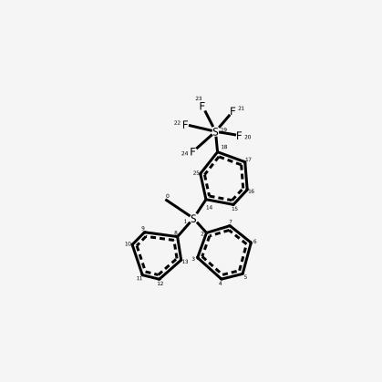 CS(c1ccccc1)(c1ccccc1)c1cccc(S(F)(F)(F)(F)F)c1